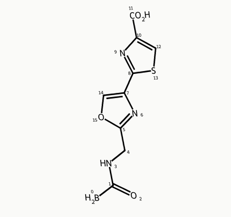 BC(=O)NCc1nc(-c2nc(C(=O)O)cs2)co1